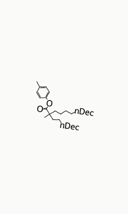 CCCCCCCCCCCCCCC(C)(CCCCCCCCCCCC)C(=O)Oc1ccc(C)cc1